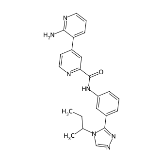 CCC(C)n1cnnc1-c1cccc(NC(=O)c2cc(-c3cccnc3N)ccn2)c1